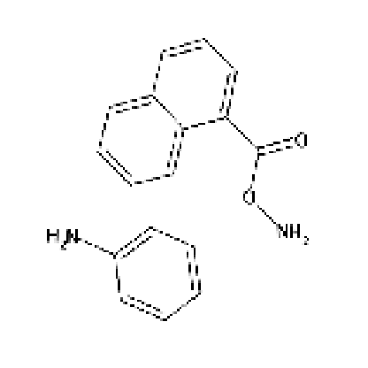 NOC(=O)c1cccc2ccccc12.Nc1ccccc1